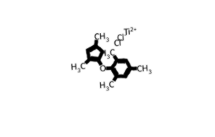 CC1=CC(C)=C(Oc2c(C)cc(C)cc2C)C1.[Cl-].[Cl-].[Ti+2]